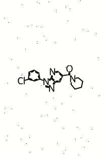 O=C(c1cnc2c(c1)ncn2-c1cccc(Cl)c1)N1CCCCC1